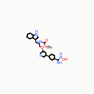 CC(C)(C)OC(=O)NC(COc1cncc(-c2ccc(C(=N)NO)cc2)c1)Cc1c[nH]c2ccccc12